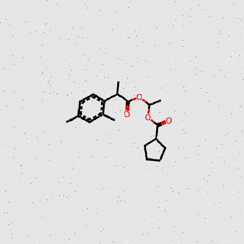 Cc1ccc(C(C)C(=O)OC(C)OC(=O)C2CCCC2)c(C)c1